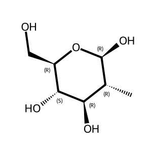 C[C@@H]1[C@@H](O)[C@H](O)[C@@H](CO)O[C@H]1O